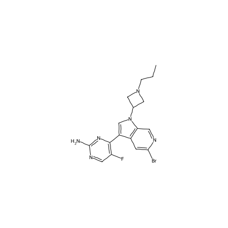 CCCN1CC(n2cc(-c3nc(N)ncc3F)c3cc(Br)ncc32)C1